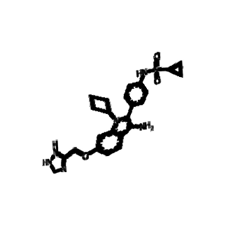 Nc1c(-c2ccc(NS(=O)(=O)C3CC3)cc2)n(C2CCC2)c2cc(OCC3=NCNN3)ccc12